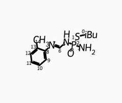 CCC(C)SP(N)(=O)NC=Nc1ccccc1C